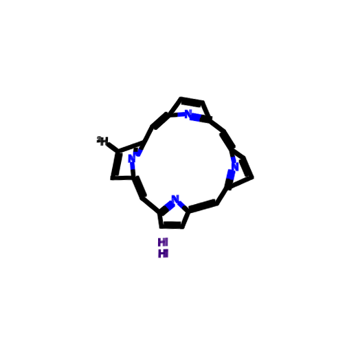 I.I.[2H]C1=CC2=CC3=NC(=CC4=NC(=CC5=NC(=CC1=N2)C=C5)C=C4)C=C3